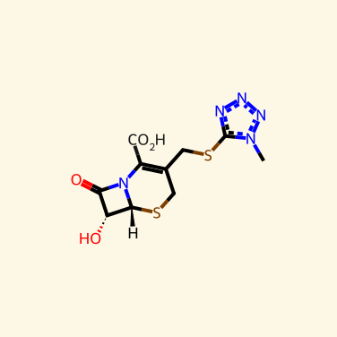 Cn1nnnc1SCC1=C(C(=O)O)N2C(=O)[C@@H](O)[C@H]2SC1